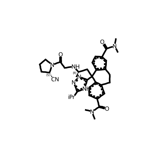 CC(C)c1nnc(C2(C[C@@H](C)NCC(=O)N3CCC[C@H]3C#N)c3ccc(C(=O)N(C)C)cc3CCc3cc(C(=O)N(C)C)ccc32)[nH]1